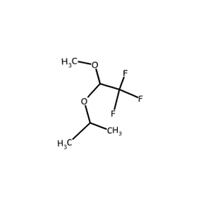 COC(OC(C)C)C(F)(F)F